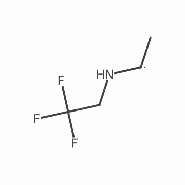 C[CH]NCC(F)(F)F